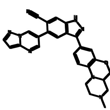 CN1CCN2c3ccc(-c4n[nH]c5cc(C#N)c(-c6cnc7ccnn7c6)cc45)cc3OCC2C1